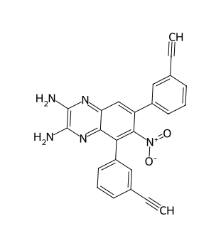 C#Cc1cccc(-c2cc3nc(N)c(N)nc3c(-c3cccc(C#C)c3)c2[N+](=O)[O-])c1